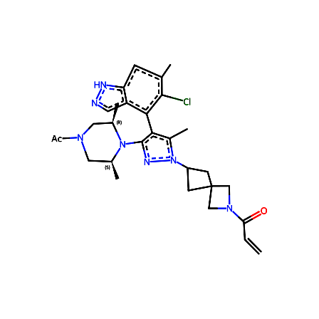 C=CC(=O)N1CC2(CC(n3nc(N4[C@H](C)CN(C(C)=O)C[C@@H]4C)c(-c4c(Cl)c(C)cc5[nH]ncc45)c3C)C2)C1